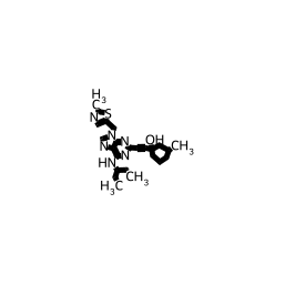 CCC(CC)Nc1nc(C#CC2(O)CCCC(C)C2)nc2c1ncn2Cc1cnc(C)s1